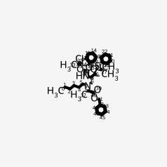 CCCCCCN(C[C@@H](CO[Si](c1ccccc1)(c1ccccc1)C(C)(C)C)NC(=O)OC(C)(C)C)[C@@H](C)C(=O)OCc1ccccc1